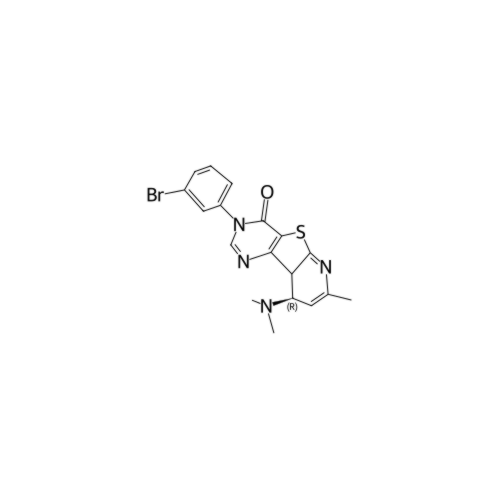 CC1=C[C@@H](N(C)C)C2C(=N1)Sc1c2ncn(-c2cccc(Br)c2)c1=O